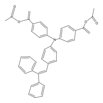 C=C(OC(C)=O)c1ccc(N(c2ccc(C=C(c3ccccc3)c3ccccc3)cc2)c2ccc(C(=C)OC(C)=O)cc2)cc1